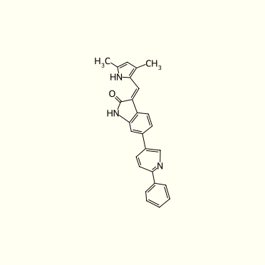 Cc1cc(C)c(/C=C2\C(=O)Nc3cc(-c4ccc(-c5ccccc5)nc4)ccc32)[nH]1